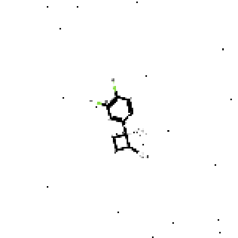 CC1CC[C@@]1(C)c1ccc(F)c(F)c1